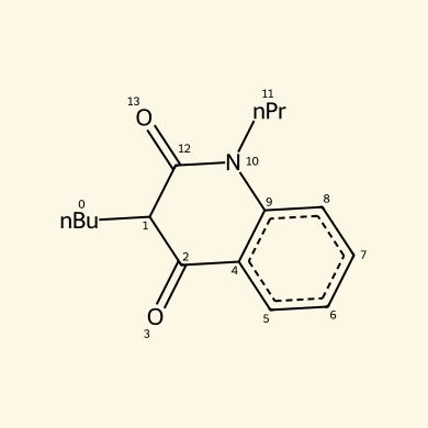 CCCCC1C(=O)c2ccccc2N(CCC)C1=O